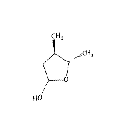 C[C@@H]1CC(O)O[C@H]1C